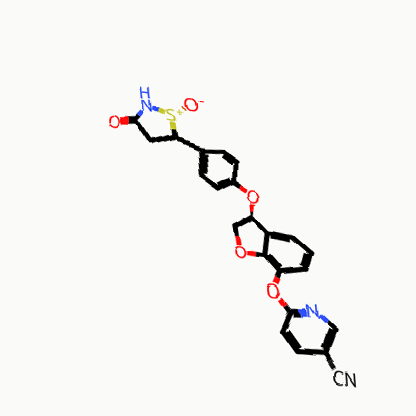 N#Cc1ccc(Oc2cccc3c2OC[C@H]3Oc2ccc(C3CC(=O)N[S+]3[O-])cc2)nc1